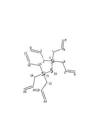 C=CC[Si](CC=C)(CC=C)S[Si](CC=C)(CC=C)CC=C